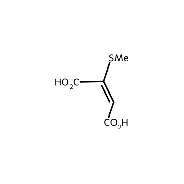 CSC(=CC(=O)O)C(=O)O